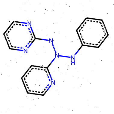 c1ccc(NN([N]c2ncccn2)c2ccccn2)cc1